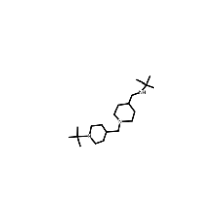 CC(C)(C)NCC1CCN(CC2CCN(C(C)(C)C)CC2)CC1